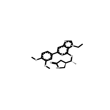 CCn1cnc2cc(-c3ccc(OC)c(OC)c3)nc(O[C@H](C)[C@H]3CNC(=O)C3)c21